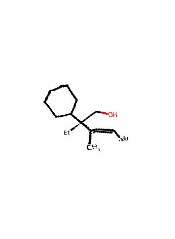 CCCC/C=C(\C)[C@@](CC)(CO)C1CCCCC1